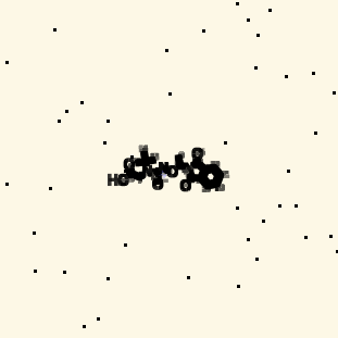 CC(O/N=[N+](\[O-])N(CC(=O)O)C(C)(C)C)N1C(=O)c2ccccc2C1=O